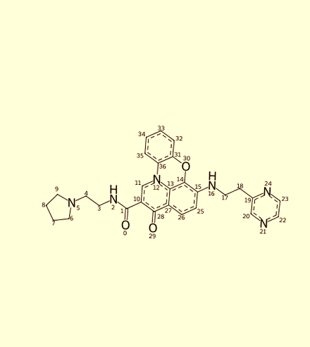 O=C(NCCN1CCCC1)c1cn2c3c(c(NCCc4cnccn4)ccc3c1=O)Oc1ccccc1-2